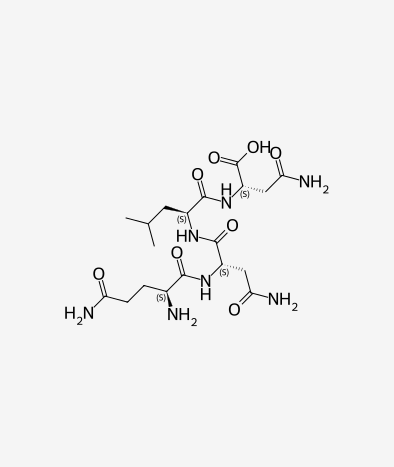 CC(C)C[C@H](NC(=O)[C@H](CC(N)=O)NC(=O)[C@@H](N)CCC(N)=O)C(=O)N[C@@H](CC(N)=O)C(=O)O